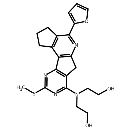 CSc1nc2c(c(N(CCO)CCO)n1)Cc1nc(-c3ccco3)c3c(c1-2)CCC3